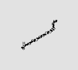 CCN=C=NCCC[N+](C)(C)CCOCCOCCOCCOCCOCCOCCOCCCCNC(C)=O